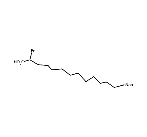 CCCCCCCCCCCCCCCCCCCCC(Br)C(=O)O